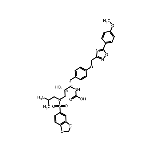 COc1ccc(-c2nc(COc3ccc(C[C@H](NC(=O)O)[C@@H](O)CN(CC(C)C)S(=O)(=O)c4ccc5c(c4)OCO5)cc3)no2)cc1